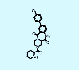 O=C1Nc2ccc(-c3ccc(Cl)cc3)cc2C(=O)N2CCN(C(=O)[C@@H]3CCCCN3)CC12